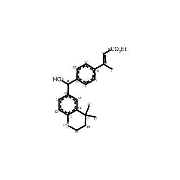 CCOC(=O)C=C(C)c1ccc(C(O)c2ccc3c(c2)C(C)(C)CCS3)cc1